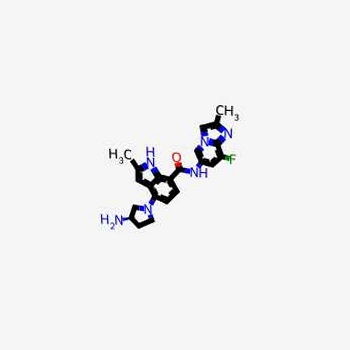 Cc1cn2cc(NC(=O)c3ccc(N4CC[C@@H](N)C4)c4cc(C)[nH]c34)cc(F)c2n1